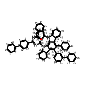 c1ccc(-c2ccc(-c3nc(-c4ccccc4)nc(-n4c5ccccc5c5c(-c6cccc(-c7ccccc7)c6)c(-c6ccccc6)c6c7ccccc7n(-c7ccccc7)c6c54)n3)cc2)cc1